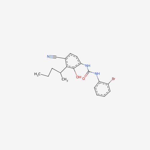 CCCC(C)c1c(C#N)ccc(NC(=O)Nc2ccccc2Br)c1O